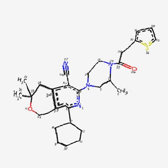 CC1CN(c2nc(C3CCCCC3)c3c(c2C#N)CC(C)(C)OC3)CCN1C(=O)Cc1cccs1